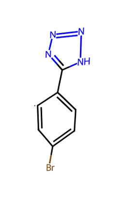 Brc1c[c]c(-c2nnn[nH]2)cc1